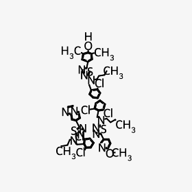 CCCCN(Cc1c(Cl)cccc1Cl)c1nnc(-c2ccc(OC)nc2)s1.CCCCN(Cc1c(Cl)cccc1Cl)c1nnc(-c2ccn3ccnc3c2)s1.CCCCN(Cc1ccccc1Cl)c1nnc(-c2cc(C)c(O)c(C)c2)s1